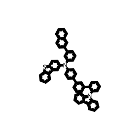 c1cc(-c2ccc(N(c3cccc(-c4ccc5ccccc5c4)c3)c3ccc4sc5ccccc5c4c3)cc2)cc(-c2ccccc2-n2c3ccccc3c3ccccc32)c1